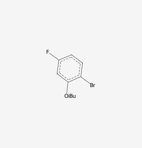 CC(C)COc1cc(F)ccc1Br